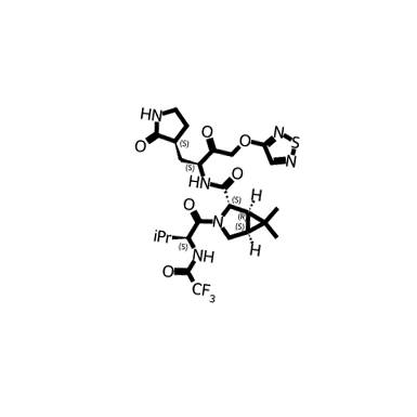 CC(C)[C@H](NC(=O)C(F)(F)F)C(=O)N1C[C@H]2[C@@H]([C@H]1C(=O)N[C@@H](C[C@@H]1CCNC1=O)C(=O)COc1cnsn1)C2(C)C